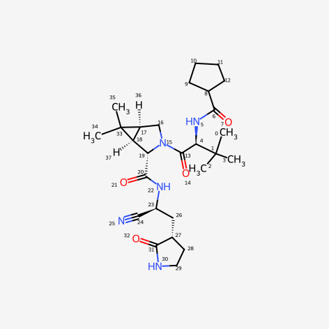 CC(C)(C)[C@H](NC(=O)C1CCCC1)C(=O)N1C[C@H]2[C@@H]([C@H]1C(=O)N[C@H](C#N)C[C@@H]1CCNC1=O)C2(C)C